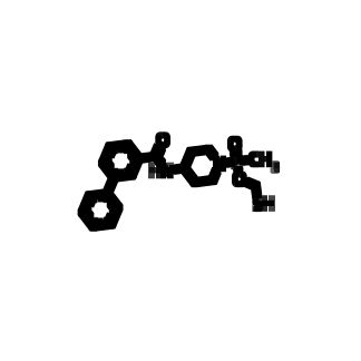 CP(=O)(OCS)N1CCC(NC(=O)c2cccc(-c3ccccc3)c2)CC1